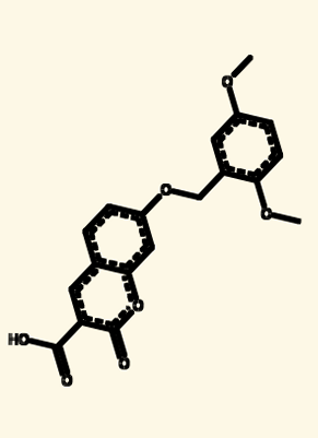 COc1ccc(OC)c(COc2ccc3cc(C(=O)O)c(=O)oc3c2)c1